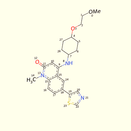 COCCOC1CCC(Nc2cc(=O)n(C)c3ccc(-c4cncs4)cc23)CC1